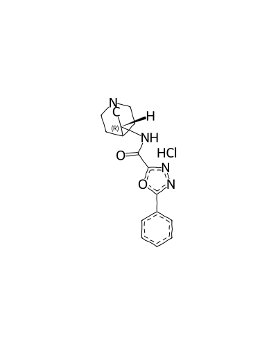 Cl.O=C(N[C@H]1CN2CCC1CC2)c1nnc(-c2ccccc2)o1